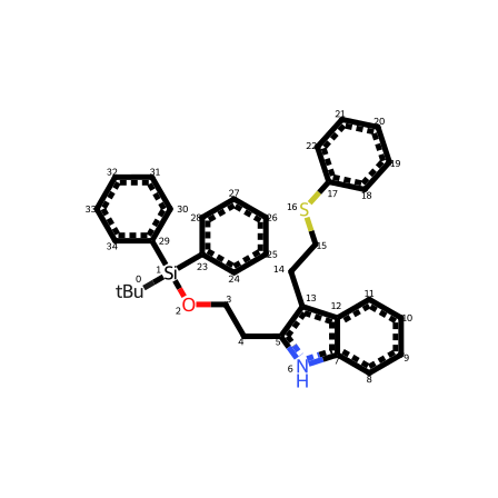 CC(C)(C)[Si](OCCc1[nH]c2ccccc2c1CCSc1ccccc1)(c1ccccc1)c1ccccc1